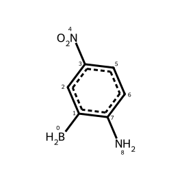 Bc1cc([N+](=O)[O-])ccc1N